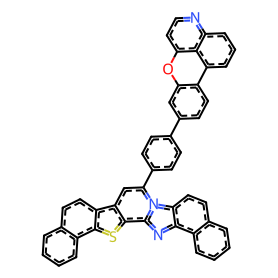 c1ccc2c(c1)ccc1c2nc2c3sc4c5ccccc5ccc4c3cc(-c3ccc(-c4ccc5c(c4)Oc4ccnc6cccc-5c46)cc3)n12